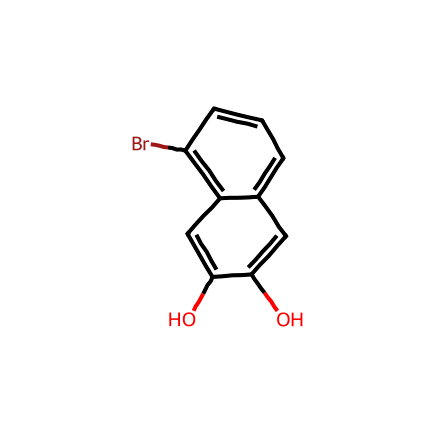 Oc1cc2cccc(Br)c2cc1O